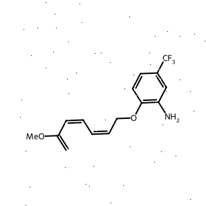 C=C(/C=C\C=C/COc1ccc(C(F)(F)F)cc1N)OC